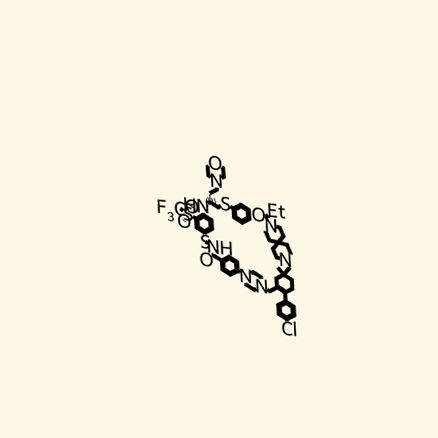 CCC(=O)N1CCC2(CCN(CC3(C)CCC(c4ccc(Cl)cc4)=C(CN4CCN(c5ccc(C(=O)NSc6ccc(N[C@H](CCN7CCOCC7)CSc7ccccc7)c(S(=O)(=O)C(F)(F)F)c6)cc5)CC4)C3)CC2)CC1